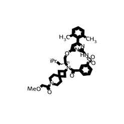 COCC(=O)N1CCC2(CC1)CC(N1C(=O)c3cccc(c3)S(=O)(=O)Nc3nc(cc(-c4c(C)cccc4C)n3)OC[C@H]1CC(C)C)C2